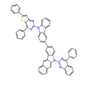 c1ccc(-c2cc3nc(-n4c5ccccc5c5cc(-c6ccc7c(c6)c6cc8ccccc8cc6n7-c6nc(-c7ccccc7)c7ccccc7n6)ccc54)nc(-c4ccccc4)c3s2)cc1